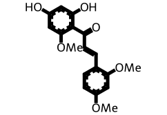 COc1ccc(/C=C/C(=O)c2c(O)cc(O)cc2OC)c(OC)c1